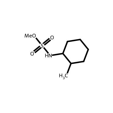 COS(=O)(=O)NC1CCCCC1C